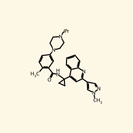 Cc1ccc(N2CCN(C(C)C)CC2)cc1C(=O)NC1(c2cc(-c3cnn(C)c3)nc3ccccc23)CC1